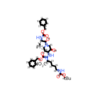 CC(C)C[C@H](NC(=O)OCc1ccccc1)C(=O)N1CCC(NN(C(=O)OCc2ccccc2)[C@@H](CCCCNC(=O)OC(C)(C)C)C(=O)O)C(=O)C1